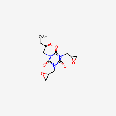 CC(=O)OCC(=O)Cn1c(=O)n(CC2CO2)c(=O)n(CC2CO2)c1=O